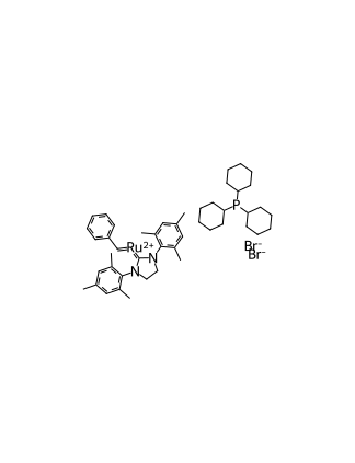 C1CCC(P(C2CCCCC2)C2CCCCC2)CC1.Cc1cc(C)c(N2CCN(c3c(C)cc(C)cc3C)[C]2=[Ru+2]=[CH]c2ccccc2)c(C)c1.[Br-].[Br-]